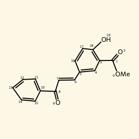 COC(=O)c1cc(C=CC(=O)c2ccccc2)ccc1O